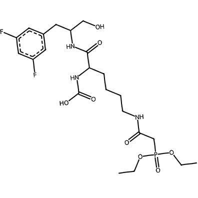 CCOP(=O)(CC(=O)NCCCCC(NC(=O)O)C(=O)NC(CO)Cc1cc(F)cc(F)c1)OCC